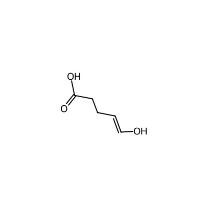 O=C(O)CC/C=C/O